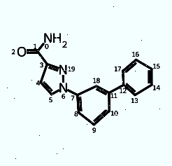 NC(=O)c1ccn(-c2cccc(-c3ccccc3)c2)n1